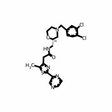 Cc1sc(-c2cnccn2)nc1CC(=O)NC[C@H]1CN(Cc2ccc(Cl)c(Cl)c2)CCO1